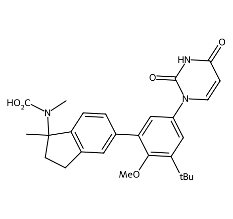 COc1c(-c2ccc3c(c2)CCC3(C)N(C)C(=O)O)cc(-n2ccc(=O)[nH]c2=O)cc1C(C)(C)C